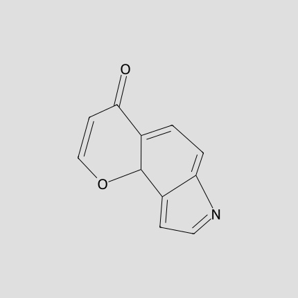 O=C1C=COC2C1=CC=C1N=CC=C12